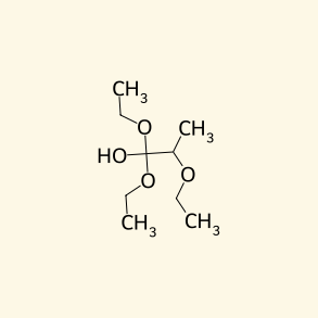 CCOC(C)C(O)(OCC)OCC